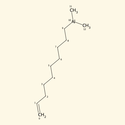 C=CCCCCCCC[CH2][Al]([CH3])[CH3]